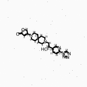 O=C1C=C(N2CCC3(CCN(C[C@H](O)c4ccc(-n5cnnn5)nc4)CC3)CC2)CO1